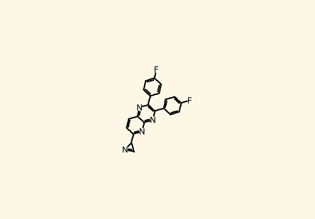 Fc1ccc(-c2nc3ccc(C4C=N4)nc3nc2-c2ccc(F)cc2)cc1